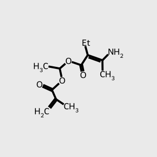 C=C(C)C(=O)OC(C)OC(=O)C(CC)=C(C)N